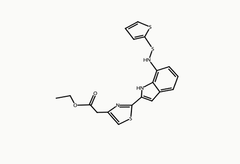 CCOC(=O)Cc1csc(-c2cc3cccc(NSc4cccs4)c3[nH]2)n1